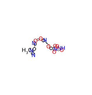 Cn1c2ccncc2c2ccc(-c3ccc(O[C@H]4C[C@H](Oc5ccc(C#CCOc6ccc7c(c6)C(=O)N(C6CCC(=O)NC6=O)C7=O)nc5)C4)nc3)cc21